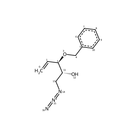 C=C[C@@H](OCc1ccccc1)[C@H](O)CN=[N+]=[N-]